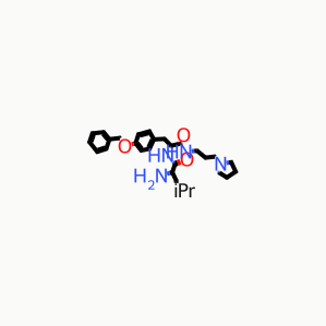 CC(C)CC(N)C(=O)NC(Cc1ccc(OCc2ccccc2)cc1)C(=O)NCCCN1CCCC1